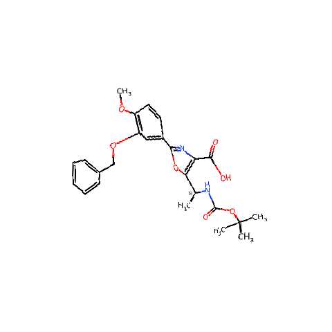 COc1ccc(-c2nc(C(=O)O)c([C@H](C)NC(=O)OC(C)(C)C)o2)cc1OCc1ccccc1